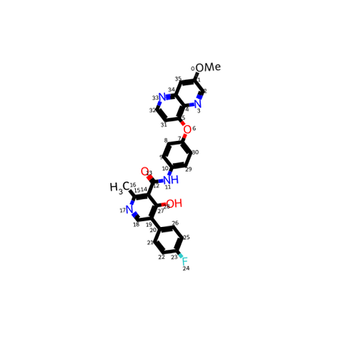 COc1cnc2c(Oc3ccc(NC(=O)c4c(C)ncc(-c5ccc(F)cc5)c4O)cc3)ccnc2c1